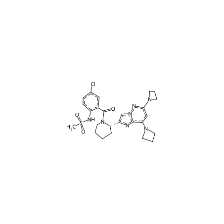 CS(=O)(=O)Nc1ccc(Cl)cc1C(=O)N1CCCC[C@H]1c1cn2nc(N3CCC3)cc(N3CCC3)c2n1